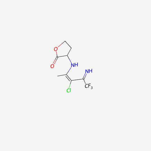 C/C(NC1CCOC1=O)=C(\Cl)C(=N)C(F)(F)F